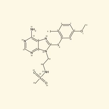 COc1ccc(I)c(Sc2nc3c(N)ncnc3n2CCNS(C)(=O)=O)c1